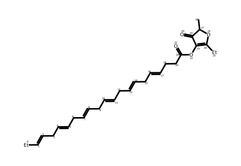 CCC=CCC=CCC=CCC=CCC=CCC=CCCC(=O)OC1=C(CC)OC(C)C1=O